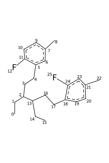 CC[C](CCc1cc(C)ccc1F)C(CC)CCc1ccc(C)cc1F